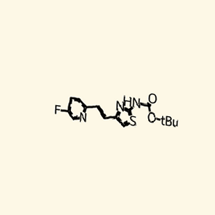 CC(C)(C)OC(=O)Nc1nc(C=Cc2ccc(F)cn2)cs1